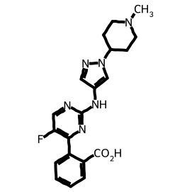 CN1CCC(n2cc(Nc3ncc(F)c(-c4ccccc4C(=O)O)n3)cn2)CC1